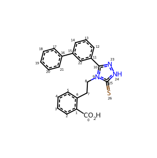 O=C(O)c1ccccc1CCn1c(-c2cccc(-c3ccccc3)c2)n[nH]c1=S